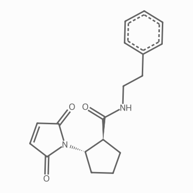 O=C(NCCc1ccccc1)[C@H]1CCC[C@@H]1N1C(=O)C=CC1=O